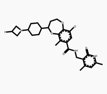 Cc1cc(C)c(CNC(=O)c2cc(Cl)c3c(c2C)OC(C2CCC(N4CC(F)C4)CC2)CCO3)c(=O)[nH]1